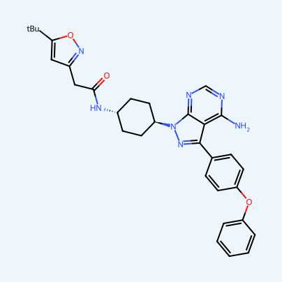 CC(C)(C)c1cc(CC(=O)N[C@H]2CC[C@H](n3nc(-c4ccc(Oc5ccccc5)cc4)c4c(N)ncnc43)CC2)no1